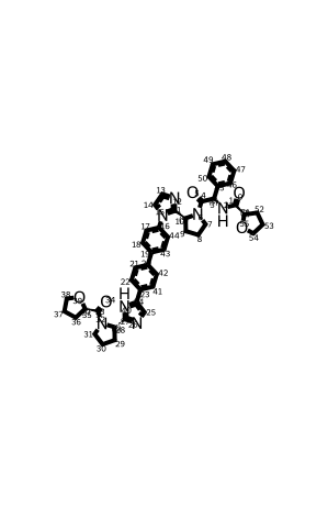 O=C(N[C@@H](C(=O)N1CCC[C@H]1c1nccn1-c1ccc(-c2ccc(-c3cnc([C@@H]4CCCN4C(=O)[C@H]4CCCO4)[nH]3)cc2)cc1)c1ccccc1)[C@H]1CCCO1